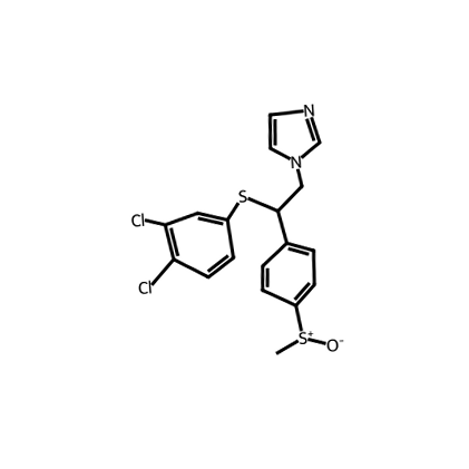 C[S+]([O-])c1ccc(C(Cn2ccnc2)Sc2ccc(Cl)c(Cl)c2)cc1